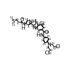 Cn1c(-c2cc(NC(=O)CC[S+](C)C)c[nH]2)nc2cc(C(=O)Nc3ccc(N(CCCl)CCCl)cc3)ccc21.[Cl-]